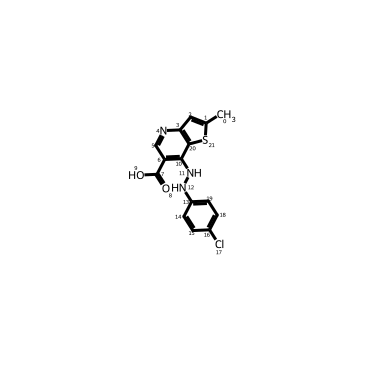 Cc1cc2ncc(C(=O)O)c(NNc3ccc(Cl)cc3)c2s1